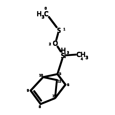 CSO[SiH](C)C1CC2C=CC1C2